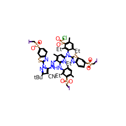 CCc1cc(C)c(S(=O)(=O)CI)c(CC)c1Nc1nc(N(c2nc3ccc(S(=O)(=O)CI)cc3s2)c2c(CC)cc(C)c(S(=O)(=O)Cl)c2CC)cc(C)c1/N=N/c1c(C#N)c(C(C)(C)C)nn1-c1nc2ccc(S(=O)(=O)CI)cc2s1